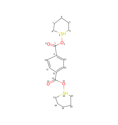 O=C(O[SH]1CCCCC1)c1ccc(C(=O)O[SH]2CCCCC2)cc1